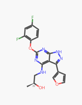 C[C@H](O)CNc1nc(Oc2ccc(F)cc2F)nc2[nH]nc(-c3ccoc3)c12